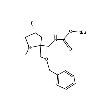 CN1C[C@H](F)CC1(CNC(=O)OC(C)(C)C)COCc1ccccc1